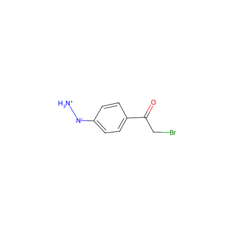 [NH3+][N-]c1ccc(C(=O)CBr)cc1